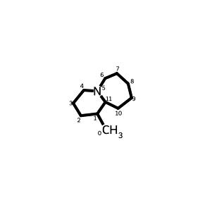 CC1CCCN2CCCCCC12